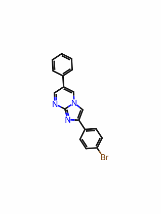 Brc1ccc(-c2cn3cc(-c4ccccc4)cnc3n2)cc1